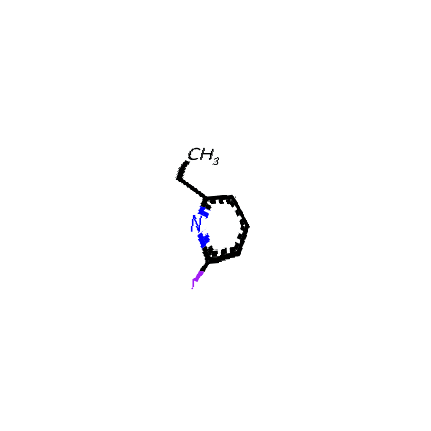 CCc1[c]ccc(I)n1